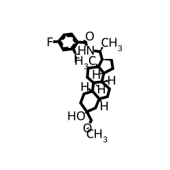 COC[C@@]1(O)CC[C@H]2[C@H](CC[C@@H]3[C@@H]2CC[C@]2(C)[C@@H]([C@H](C)NC(=O)c4ccc(F)cc4F)CC[C@@H]32)C1